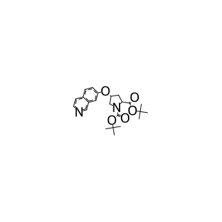 CC(C)(C)OC(=O)C1CC(Oc2ccc3ccncc3c2)CN1C(=O)OC(C)(C)C